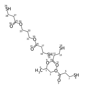 CC(COC(=O)CCS)OC(=O)CCS.O=C(CCS)OCCCOC(=O)CCS